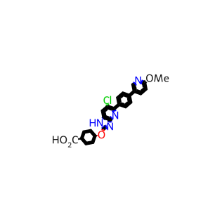 COc1ccc(-c2ccc(-c3nc4nc(O[C@H]5CC[C@H](C(=O)O)CC5)[nH]c4cc3Cl)cc2)cn1